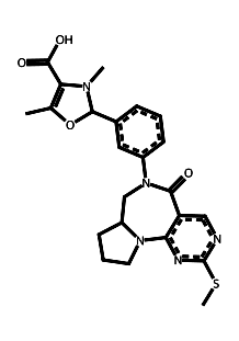 CSc1ncc2c(n1)N1CCCC1CN(c1cccc(C3OC(C)=C(C(=O)O)N3C)c1)C2=O